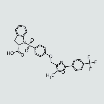 Cc1oc(-c2ccc(C(F)(F)F)cc2)nc1COc1ccc(S(=O)(=O)N2c3ccccc3C[C@H]2C(=O)O)cc1